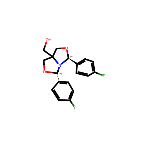 OCC12CO[C@@H](c3ccc(F)cc3)N1[C@H](c1ccc(F)cc1)OC2